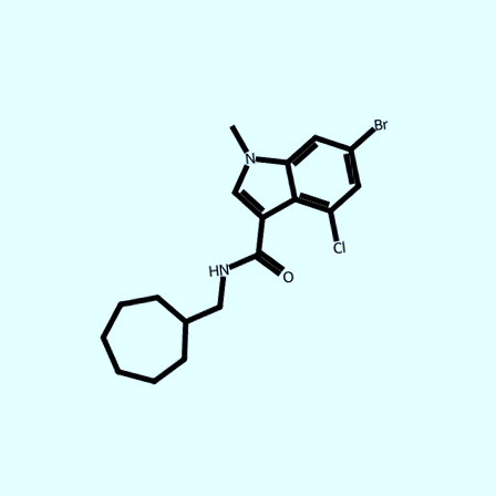 Cn1cc(C(=O)NCC2CCCCCC2)c2c(Cl)cc(Br)cc21